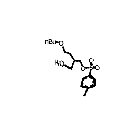 CCCCOCCC(CO)COS(=O)(=O)c1ccc(C)cc1